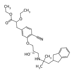 CCOC(=O)C(Cc1ccc(C#N)c(OC[C@@H](O)CNC(C)(C)CC2Cc3ccccc3C2)c1)OCC